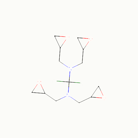 ClC(Cl)(N(CC1CO1)CC1CO1)N(CC1CO1)CC1CO1